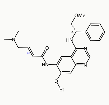 CCOc1cc2ncnc(N[C@H](COC)c3ccccc3)c2cc1NC(=O)/C=C/CN(C)C